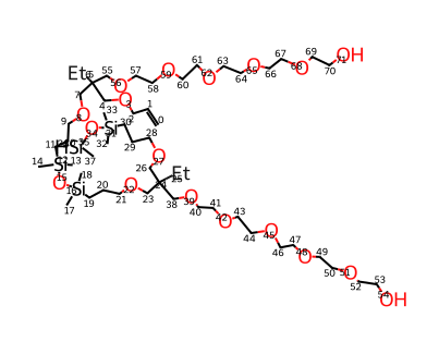 C=CCOCC(CC)(COCCC[Si](C)(C)O[Si](C)(C)CCCOCC(CC)(COCCC[Si](C)(C)O[SiH](C)C)COCCOCCOCCOCCOCCO)COCCOCCOCCOCCOCCO